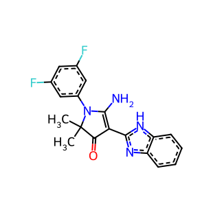 CC1(C)C(=O)C(c2nc3ccccc3[nH]2)=C(N)N1c1cc(F)cc(F)c1